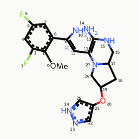 COc1c(F)cc(F)cc1/C(N)=C/C1=C(N)NCC2CC(Oc3cn[nH]c3)CN12